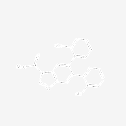 CCCCc1ccccc1-c1cc2ncn(C(=O)OC)c2cc1-c1ccccc1CCCC